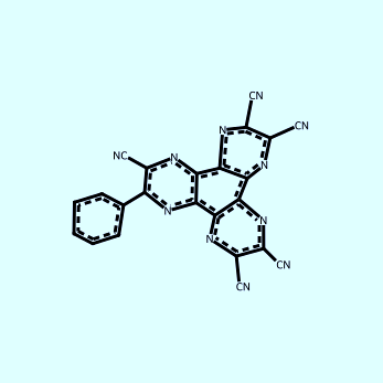 N#Cc1nc2c3nc(C#N)c(C#N)nc3c3nc(-c4ccccc4)c(C#N)nc3c2nc1C#N